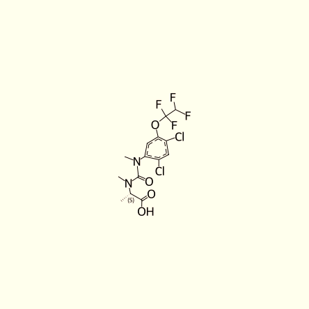 C[C@@H](C(=O)O)N(C)C(=O)N(C)c1cc(OC(F)(F)C(F)F)c(Cl)cc1Cl